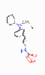 CN(c1cccc(/C=C/CNC(=O)O)c1)C1CCCCC1